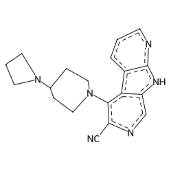 N#Cc1ncc2[nH]c3ncccc3c2c1N1CCC(N2CCC2)CC1